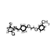 Cc1cccc(OCCOc2ccc(/C=N/N3C(=O)CSC3=S)cc2)c1